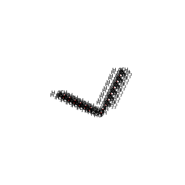 CN(C)P(N(C)C)N(C)C.CN(C)P(N(C)C)N(C)C.CN(C)P(N(C)C)N(C)C.CN(C)P(N(C)C)N(C)C.CN(C)P(N(C)C)N(C)C.CN(C)P(N(C)C)N(C)C.CN(C)P(N(C)C)N(C)C.CN(C)P(N(C)C)N(C)C.CN(C)P(N(C)C)N(C)C.CN(C)P(N(C)C)N(C)C.CN(C)P(N(C)C)N(C)C.CN(C)P(N(C)C)N(C)C.OB(O)F.OB(O)F.OB(O)F.OB(O)F.OB(O)F.OB(O)F